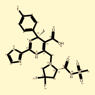 C[C@@]1(c2ccc(F)cc2)N=C(c2nccs2)NC(CN2CC(F)(F)C[C@H]2C(=O)NS(C)(=O)=O)=C1C(=O)O